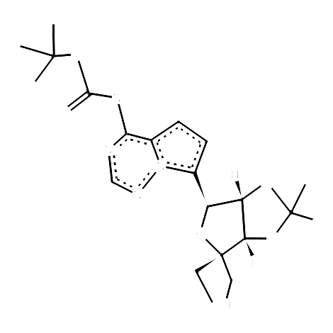 CC[C@@]1(CCl)O[C@@H](c2ccc3c(NC(=O)OC(C)(C)C)ncnn23)[C@@H]2OC(C)(C)O[C@@H]21